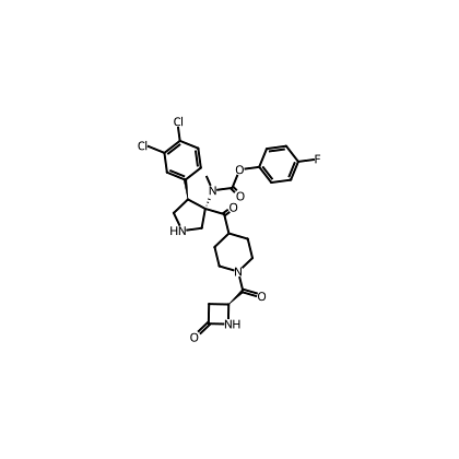 CN(C(=O)Oc1ccc(F)cc1)[C@]1(C(=O)C2CCN(C(=O)[C@@H]3CC(=O)N3)CC2)CNC[C@H]1c1ccc(Cl)c(Cl)c1